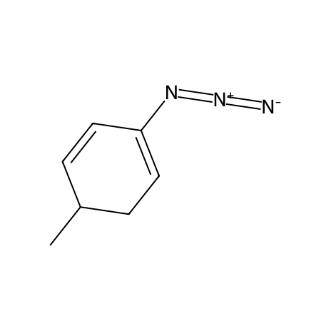 CC1C=CC(N=[N+]=[N-])=CC1